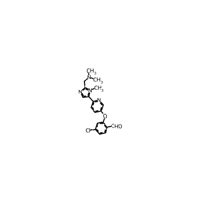 CN(C)Cc1ncc(-c2ccc(Oc3cc(Cl)ccc3C=O)cn2)n1C